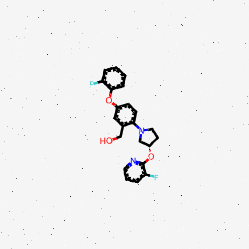 OCc1cc(Oc2ccccc2F)ccc1N1CC[C@H](Oc2ncccc2F)C1